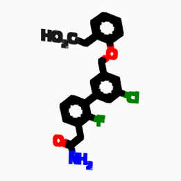 NC(=O)Cc1cccc(-c2cc(Cl)cc(COc3ccccc3CC(=O)O)c2)c1F